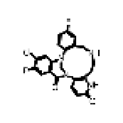 O=C1c2cc(F)c(Cl)cc2N2CN1c1ccc(=O)[nH]c1CCNCc1cc(F)ccc12